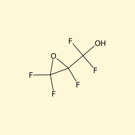 OC(F)(F)C1(F)OC1(F)F